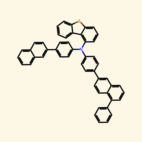 c1ccc(-c2cccc3cc(-c4ccc(N(c5ccc(-c6ccc7ccccc7c6)cc5)c5cccc6sc7ccccc7c56)cc4)ccc23)cc1